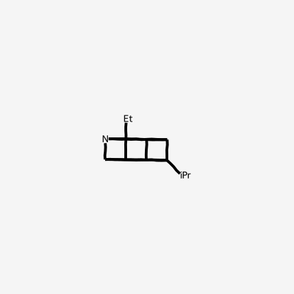 CCC12C3C4C1C1N2C3C41C(C)C